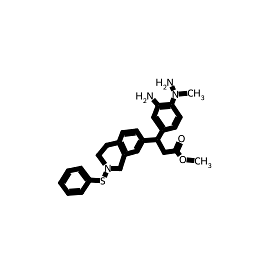 COC(=O)CC(c1ccc(N(C)N)c(N)c1)c1ccc2c(c1)CN(Sc1ccccc1)CC2